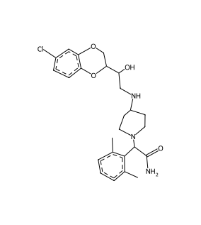 Cc1cccc(C)c1C(C(N)=O)N1CCC(NCC(O)C2COc3cc(Cl)ccc3O2)CC1